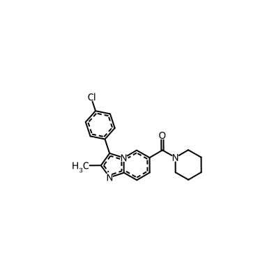 Cc1nc2ccc(C(=O)N3CCCCC3)cn2c1-c1ccc(Cl)cc1